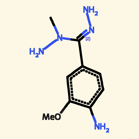 COc1cc(/C(=N/N)N(C)N)ccc1N